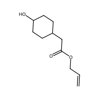 C=CCOC(=O)CC1CCC(O)CC1